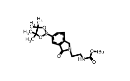 CC(C)(C)OC(=O)NCCN1Cc2ccc(B3OC(C)(C)C(C)(C)O3)cc2C1=O